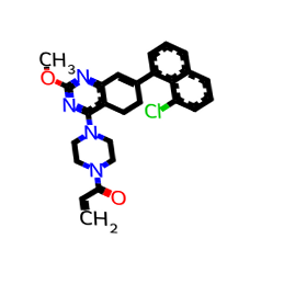 C=CC(=O)N1CCN(c2nc(OC)nc3c2CCC(c2cccc4cccc(Cl)c24)=C3)CC1